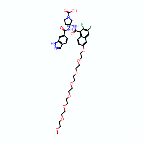 COCCOCCOCCOCCOCCOCCOCCOc1ccc2c(C(=O)N[C@]3(NC(=O)c4ccc5cn[nH]c5c4)CCN(C(=O)O)C3)c(F)c(F)cc2c1